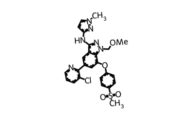 COCn1nc(Nc2ccn(C)n2)c2cc(-c3ncccc3Cl)cc(Oc3ccc(S(C)(=O)=O)cc3)c21